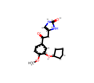 COc1ccc(C(=O)CC2=C[N]C(=O)N2)cc1OC1CCCC1